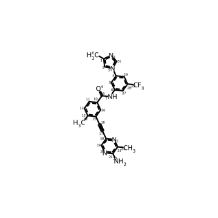 Cc1cn(-c2cc(NC(=O)c3ccc(C)c(C#Cc4cnc(N)c(C)n4)c3)cc(C(F)(F)F)c2)cn1